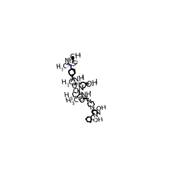 C#CS/C(=C(/C)N)c1ccc([C@H](C)NC(=O)[C@@H]2C[C@@H](O)CN2C(=O)[C@@H](NC(=O)CN2CCN(c3cc(-c4ccccc4O)nnc3O)CC2)C(C)(C)C)cc1